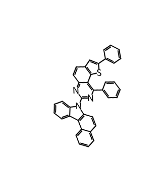 c1ccc(-c2cc3ccc4nc(-n5c6ccccc6c6c7ccccc7ccc65)nc(-c5ccccc5)c4c3s2)cc1